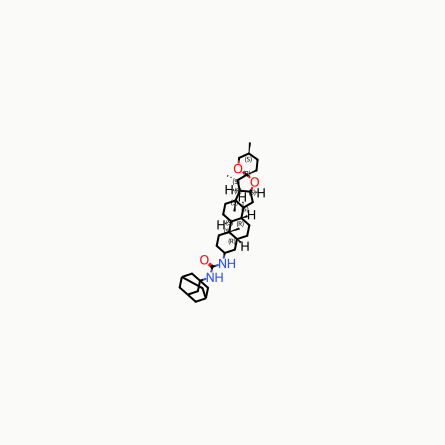 C[C@H]1CC[C@@]2(OC1)O[C@H]1C[C@H]3[C@@H]4CC[C@@H]5CC(NC(=O)NC67CC8CC(CC(C8)C6)C7)CC[C@]5(C)[C@H]4CC[C@]3(C)[C@H]1[C@@H]2C